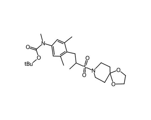 Cc1cc(N(C)C(=O)OC(C)(C)C)cc(C)c1CC(C)S(=O)(=O)N1CCC2(CC1)OCCO2